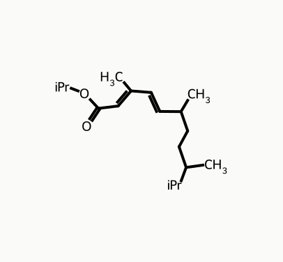 CC(C=CC(C)CCC(C)C(C)C)=CC(=O)OC(C)C